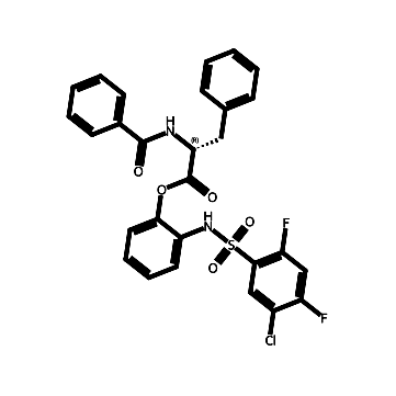 O=C(N[C@H](Cc1ccccc1)C(=O)Oc1ccccc1NS(=O)(=O)c1cc(Cl)c(F)cc1F)c1ccccc1